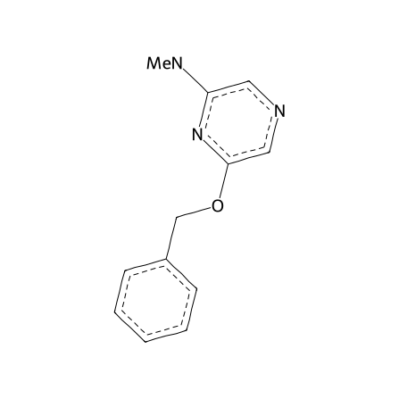 CNc1cncc(OCc2ccccc2)n1